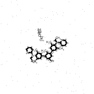 CC=[N+](c1ccccn1)c1c(C)cc(-c2cc(C(C)C)cc(-c3cc(C)c([N+](=CC)c4ccccn4)c(C)c3)c2C)cc1C.[Cl-].[Cl-].[Cl-].[Cl-].[Pd].[Pd]